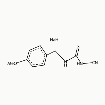 COc1ccc(CNC(=S)NC#N)cc1.[NaH]